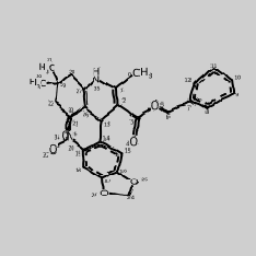 CC1=C(C(=O)OCc2ccccc2)C(c2cc3c(cc2[N+](=O)[O-])OCO3)C2=C(CC(C)(C)CC2=O)N1